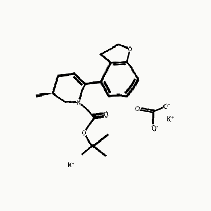 C[C@H]1CC=C(c2cccc3c2CCO3)N(C(=O)OC(C)(C)C)C1.O=C([O-])[O-].[K+].[K+]